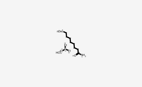 CCCCCCCCCCCCCCCCCC(N)=O.CCN(CC)CC.Cl